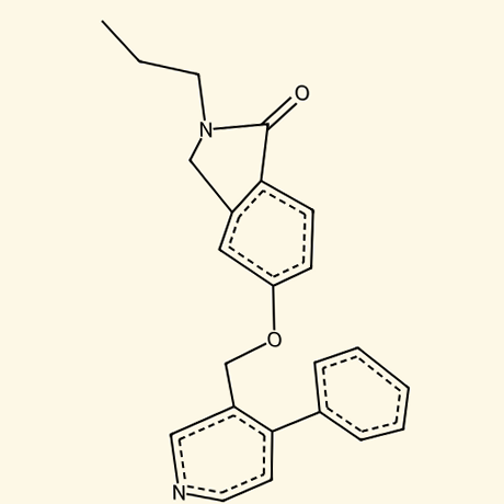 CCCN1Cc2cc(OCc3cnccc3-c3ccccc3)ccc2C1=O